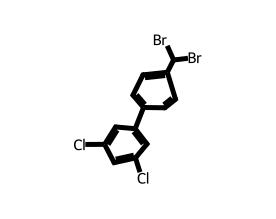 Clc1cc(Cl)cc(-c2ccc(C(Br)Br)cc2)c1